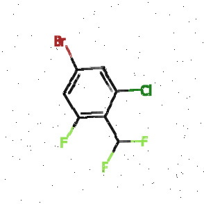 Fc1cc(Br)cc(Cl)c1C(F)F